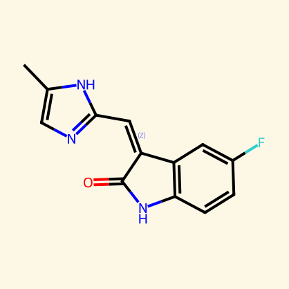 Cc1cnc(/C=C2\C(=O)Nc3ccc(F)cc32)[nH]1